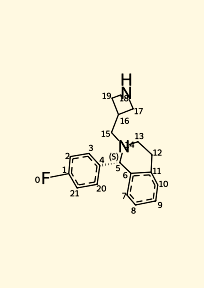 Fc1ccc([C@H]2c3ccccc3CCN2CC2CNC2)cc1